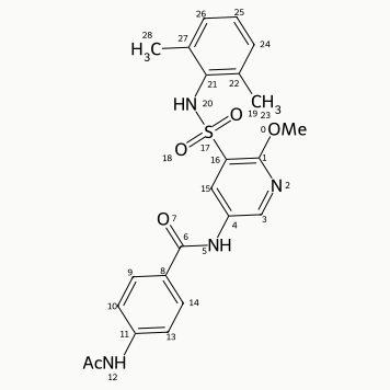 COc1ncc(NC(=O)c2ccc(NC(C)=O)cc2)cc1S(=O)(=O)Nc1c(C)cccc1C